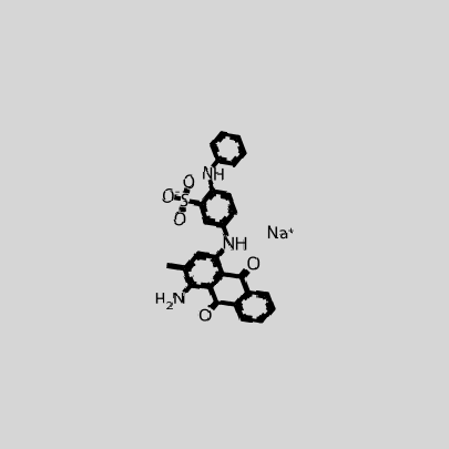 Cc1cc(Nc2ccc(Nc3ccccc3)c(S(=O)(=O)[O-])c2)c2c(c1N)C(=O)c1ccccc1C2=O.[Na+]